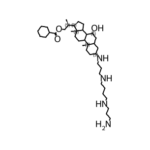 C[C@H](COC(=O)C1CCCCC1)[C@H]1CCC2C3C(CC[C@@]21C)[C@@]1(C)CC[C@H](NCCCNCCCCNCCCN)CC1C[C@@H]3O